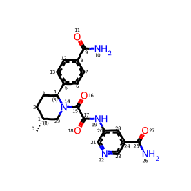 C[C@@H]1CC[C@@H](c2ccc(C(N)=O)cc2)N(C(=O)C(=O)Nc2cncc(C(N)=O)c2)C1